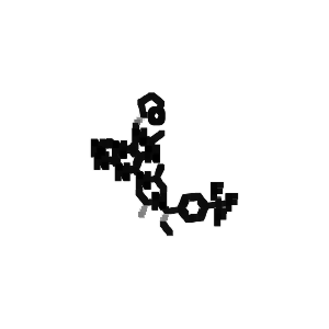 CC[C@@H](c1ccc(C(F)(F)F)cc1)N1C[C@H](C)N(c2nc3nncn3c3c2nc(C)n3C[C@@H]2CCCO2)C[C@H]1C